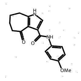 COc1ccc(NC(=O)c2c[nH]c3c2C(=O)CCCC3)cc1